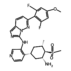 COc1cc(F)c(-c2ccc3cnc(Nc4cnccc4[C@H]4C[C@@H](N)[C@H](S(C)(=O)=O)[C@@H](C)C4)n3n2)c(F)c1